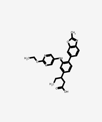 CCOc1ncc(Nc2cc(C(CC)CC(=O)O)ccc2-c2ccc3nc(C)oc3c2)cn1